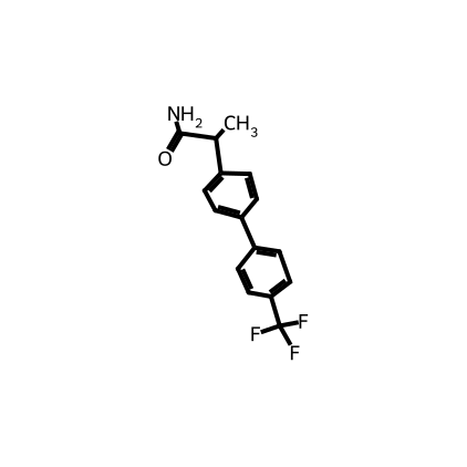 CC(C(N)=O)c1ccc(-c2ccc(C(F)(F)F)cc2)cc1